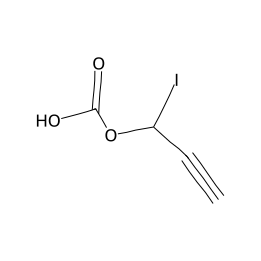 C#CC(I)OC(=O)O